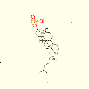 CC(C)CCC[C@@H](C)[C@H]1CCC2C3CC[C@H]4C[C@@H](O[PH](=O)O)CC[C@]4(C)[C@H]3CC[C@@]21C